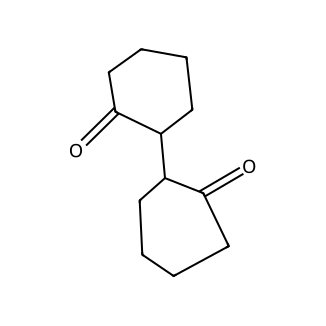 O=C1CCCCC1C1CCCCC1=O